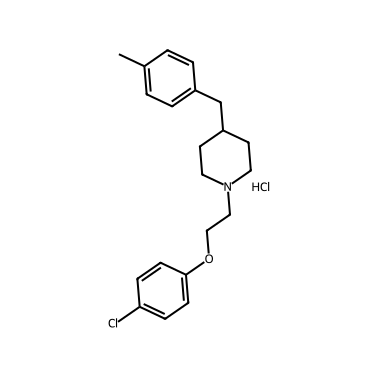 Cc1ccc(CC2CCN(CCOc3ccc(Cl)cc3)CC2)cc1.Cl